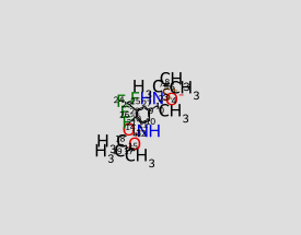 CC(N[S@+]([O-])C(C)(C)C)c1cc(NC(=O)OC(C)(C)C)c(F)c(C(F)(F)F)c1